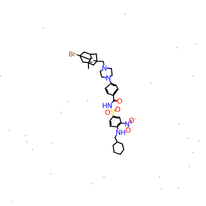 CC12CC3CC(Br)(C1)CC(CN1CCN(c4ccc(C(=O)NS(=O)(=O)c5ccc(NCC6CCCCC6)c([N+](=O)[O-])c5)cc4)CC1)(C3)C2